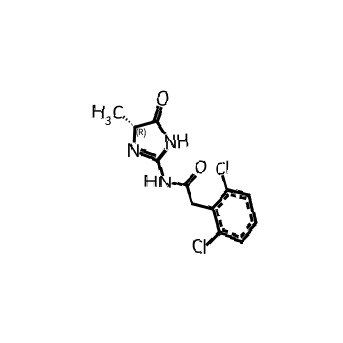 C[C@H]1N=C(NC(=O)Cc2c(Cl)cccc2Cl)NC1=O